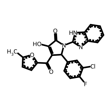 Cc1ccc(C(=O)C2=C(O)C(=O)N(c3nc4ccccc4[nH]3)C2c2ccc(F)c(Cl)c2)o1